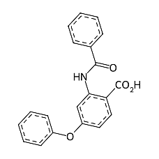 O=C(Nc1cc(Oc2ccccc2)ccc1C(=O)O)c1ccccc1